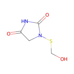 O=C1CN(SCO)C(=O)N1